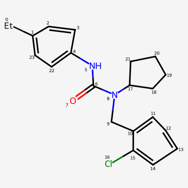 CCc1ccc(NC(=O)N(Cc2ccccc2Cl)C2CCCC2)cc1